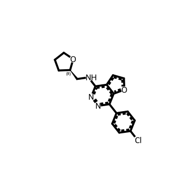 Clc1ccc(-c2nnc(NC[C@H]3CCCO3)c3ccoc23)cc1